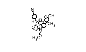 COCCN(c1ccc(C(C)(C)CC(=O)O)cc1NC(=O)Nc1ccc(C#N)cc1)C1CCOCC1